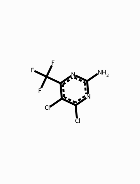 Nc1nc(Cl)c(Cl)c(C(F)(F)F)n1